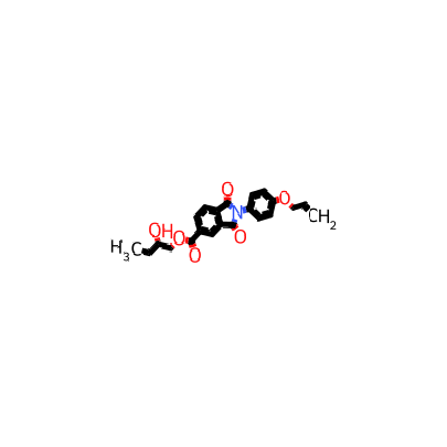 C=CCOc1ccc(N2C(=O)c3ccc(C(=O)OCC(O)CC)cc3C2=O)cc1